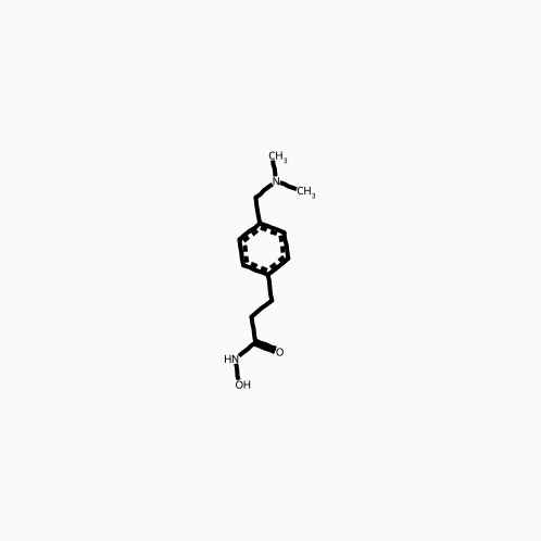 CN(C)Cc1ccc(CCC(=O)NO)cc1